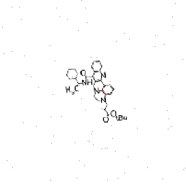 CC(NC(=O)c1c(CN2CCN(CCC(=O)OC(C)(C)C)CC2)c(-c2ccccc2)nc2ccccc12)C1CCCCC1